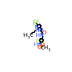 CCCCNc1nc(C(F)(F)F)ccc1C=CC(=O)NCc1cc(F)c(NS(C)(=O)=O)c(F)c1